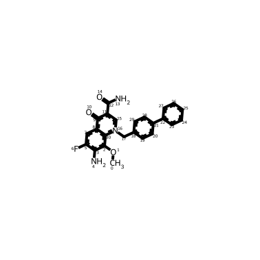 COc1c(N)c(F)cc2c(=O)c(C(N)=O)cn(Cc3ccc(-c4ccccc4)cc3)c12